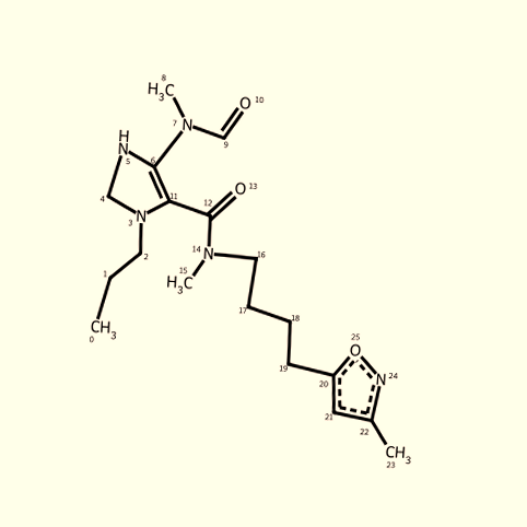 CCCN1CNC(N(C)C=O)=C1C(=O)N(C)CCCCc1cc(C)no1